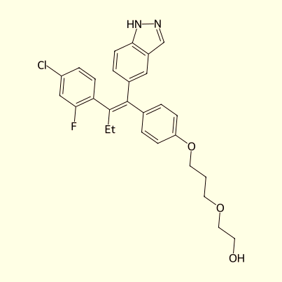 CCC(=C(c1ccc(OCCCOCCO)cc1)c1ccc2[nH]ncc2c1)c1ccc(Cl)cc1F